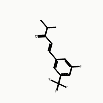 CC(C)C(=O)C=Cc1cc(F)cc(C(F)(F)F)c1